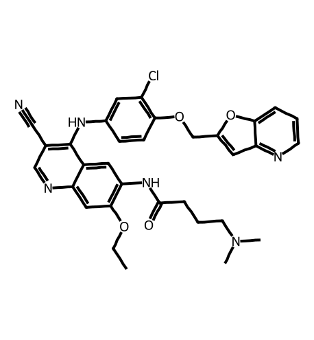 CCOc1cc2ncc(C#N)c(Nc3ccc(OCc4cc5ncccc5o4)c(Cl)c3)c2cc1NC(=O)CCCN(C)C